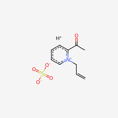 C=CC[n+]1ccccc1C(C)=O.O=S(=O)([O-])[O-].[H+]